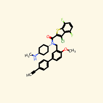 C#Cc1ccc(-c2ccc(OC)c(CN(C(=O)c3sc4c(F)ccc(F)c4c3Cl)[C@H]3CC[C@H](NC)CC3)c2)cc1